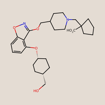 O=C(O)C1(CN2CCC(COc3noc4cccc(O[C@H]5CC[C@@H](CO)CC5)c34)CC2)CCCC1